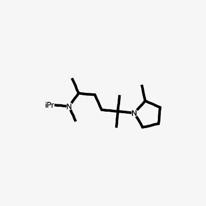 CC(C)N(C)C(C)CCC(C)(C)N1CCCC1C